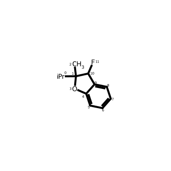 CC(C)C1(C)Oc2ccccc2C1F